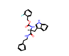 C[C@](Cc1c[nH]c2ccccc12)(NC(=O)OCc1ccccc1F)C(=O)NCCc1ccccc1